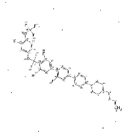 C=CCCC1CCC(c2ccc(-c3ccc(-c4cc(F)c(C(F)(F)Oc5ccc(OC(F)(F)F)c(F)c5)c(F)c4)c(F)c3)cc2)CC1